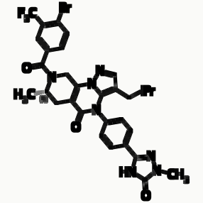 CC(C)Cc1cnn2c3c(c(=O)n(-c4ccc(-c5nn(C)c(=O)[nH]5)cc4)c12)C[C@H](C)N(C(=O)c1ccc(Br)c(C(F)(F)F)c1)C3